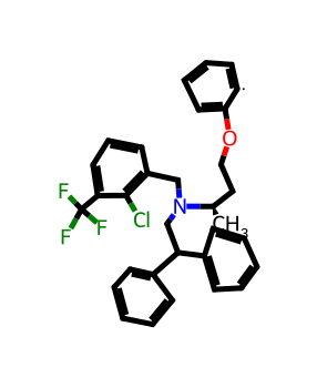 C[C@H](CCOc1[c]cccc1)N(Cc1cccc(C(F)(F)F)c1Cl)CC(c1ccccc1)c1ccccc1